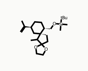 C=C(C)[C@H]1CC[C@H](CO[Si](C)(C)C(C)(C)C)[C@]2(CCC3(OCCO3)C2C)C1